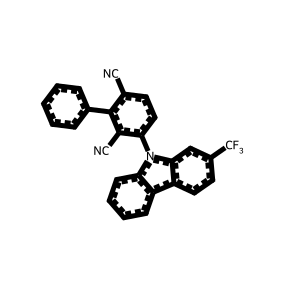 N#Cc1ccc(-n2c3ccccc3c3ccc(C(F)(F)F)cc32)c(C#N)c1-c1ccccc1